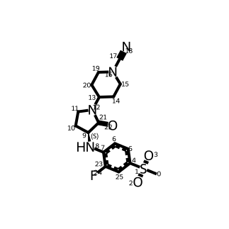 CS(=O)(=O)c1ccc(N[C@H]2CCN(C3CCN(C#N)CC3)C2=O)c(F)c1